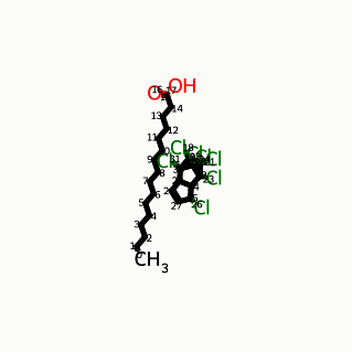 CCCCCCCCCCCCCCCC(=O)O.ClC1=C(Cl)C2(Cl)C3C(Cl)C=CC3C1(Cl)C2(Cl)Cl